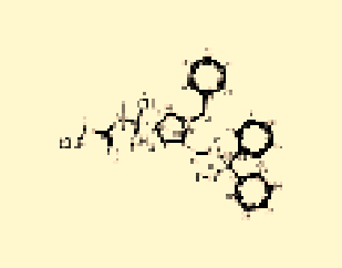 CC(C)(C)OC(=O)NC(C)(C)[C@H]1C[C@@H](CO[Si](c2ccccc2)(c2ccccc2)C(C)(C)C)N(Cc2ccccc2)C1